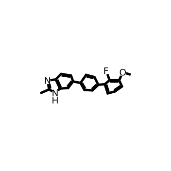 COc1cccc(-c2ccc(-c3ccc4nc(C)[nH]c4c3)cc2)c1F